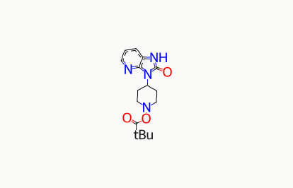 CC(C)(C)C(=O)ON1CCC(n2c(=O)[nH]c3cccnc32)CC1